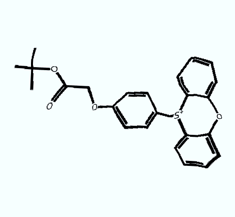 CC(C)(C)OC(=O)COc1ccc([S+]2c3ccccc3Oc3ccccc32)cc1